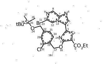 CCOC(=O)c1sc(-c2cnc3cnc(Br)cn23)nc1O[C@H](C)c1ccc(CO[Si](C)(C)C(C)(C)C)cc1Cl